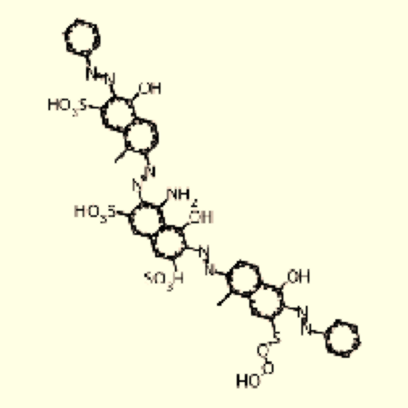 Cc1c(N=Nc2c(S(=O)(=O)O)cc3cc(S(=O)(=O)O)c(N=Nc4ccc5c(O)c(N=Nc6ccccc6)c(S(=O)(=O)O)cc5c4C)c(N)c3c2O)ccc2c(O)c(N=Nc3ccccc3)c(SOOO)cc12